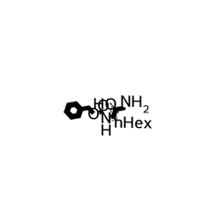 CCCCCC[C@H](NC(=O)OCc1ccccc1)[C@H](O)CN